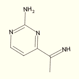 CC(=N)c1ccnc(N)n1